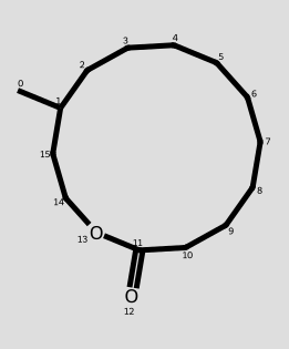 CC1CCCCCCCCCC(=O)OCC1